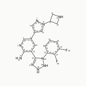 Nc1ncc(-c2cnn(C3CNC3)c2)cc1C1=NNNN1c1cccc(F)c1F